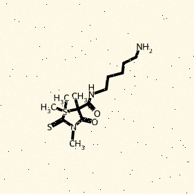 CN1C(=O)C(C)(C(=O)NCCCCCN)S(C)(C)C1=S